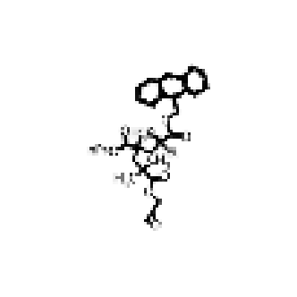 CCCOC(=O)C(C)(CC(C)(C)C(=O)OCC1CO1)CC(C)(CC)C(=O)OCc1c2ccccc2cc2ccccc12